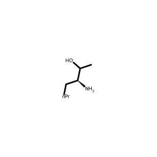 CCCC[C@H](N)C(C)O